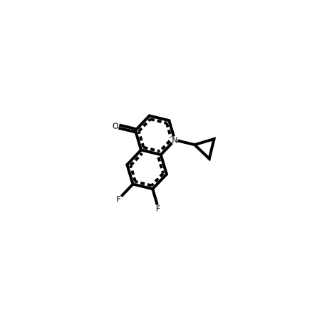 O=c1ccn(C2CC2)c2cc(F)c(F)cc12